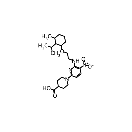 CC(C)C1C(C)CCCC1OCCNc1nc(N2CCC(C(=O)O)CC2)ccc1[N+](=O)[O-]